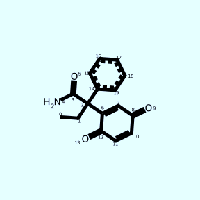 CCC(C(N)=O)(C1=CC(=O)C=CC1=O)c1ccccc1